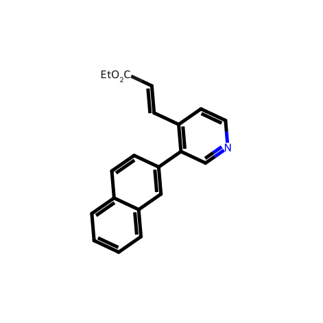 CCOC(=O)C=Cc1ccncc1-c1ccc2ccccc2c1